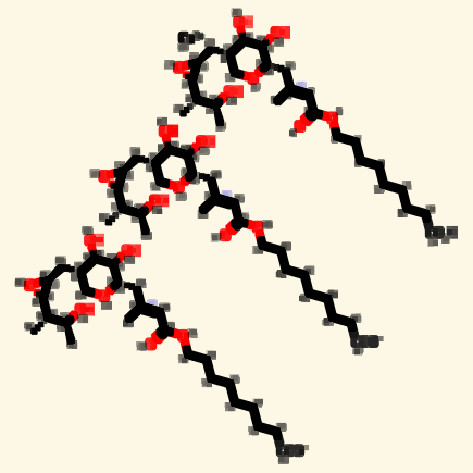 C/C(=C\C(=O)OCCCCCCCCC(=O)O)C[C@@H]1OC[C@H](C[C@@H]2O[C@H]2[C@@H](C)[C@H](C)O)[C@@H](O)[C@H]1O.C/C(=C\C(=O)OCCCCCCCCC(=O)[O-])C[C@@H]1OC[C@H](C[C@@H]2O[C@H]2[C@@H](C)[C@H](C)O)[C@@H](O)[C@H]1O.C/C(=C\C(=O)OCCCCCCCCC(=O)[O-])C[C@@H]1OC[C@H](C[C@@H]2O[C@H]2[C@@H](C)[C@H](C)O)[C@@H](O)[C@H]1O.[Ca+2]